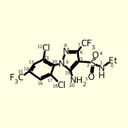 CCNS(=O)(=O)c1c(C(F)(F)F)nn(-c2c(Cl)cc(C(F)(F)F)cc2Cl)c1N